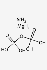 O=P(O)(O)OP(=O)(O)O.[MgH2].[SrH2]